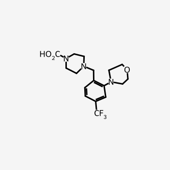 O=C(O)N1CCN(Cc2ccc(C(F)(F)F)cc2N2CCOCC2)CC1